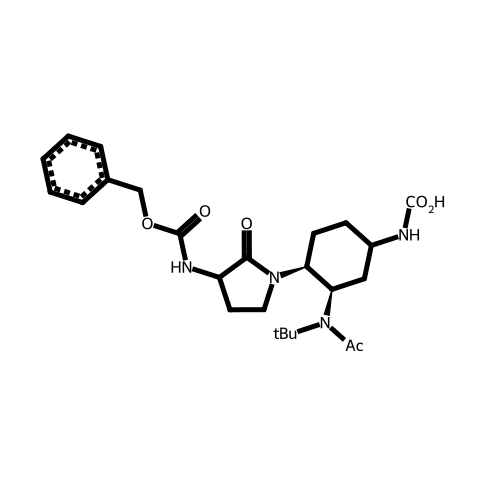 CC(=O)N([C@@H]1CC(NC(=O)O)CC[C@@H]1N1CCC(NC(=O)OCc2ccccc2)C1=O)C(C)(C)C